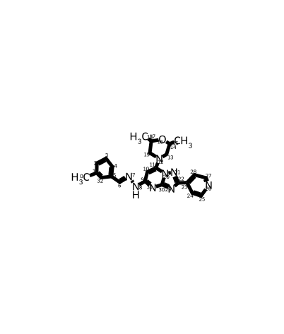 Cc1cccc(/C=N/Nc2cc(N3CC(C)OC(C)C3)n3nc(-c4ccncc4)nc3n2)c1